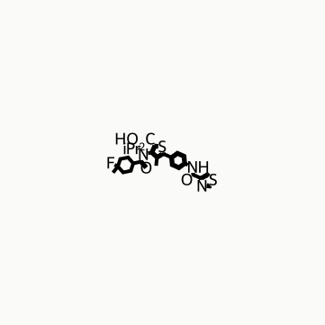 Cc1c(-c2ccc(NC(=O)c3cscn3)cc2)sc(C(=O)O)c1N(C(=O)C1CCC(C)(F)CC1)C(C)C